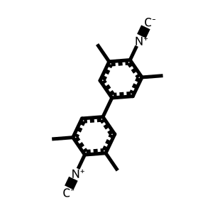 [C-]#[N+]c1c(C)cc(-c2cc(C)c([N+]#[C-])c(C)c2)cc1C